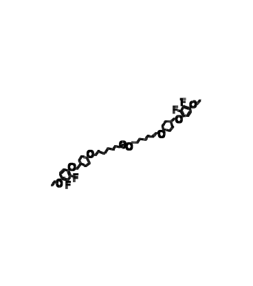 CCOc1ccc(OCC2CCC(OCCCCCCCOOCCCCCCCOC3CCC(COc4ccc(OCC)c(F)c4F)CC3)CC2)c(F)c1F